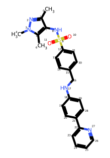 Cc1nn(C)c(C)c1NS(=O)(=O)c1ccc(CNc2ccc(-c3ccccn3)cc2)cc1